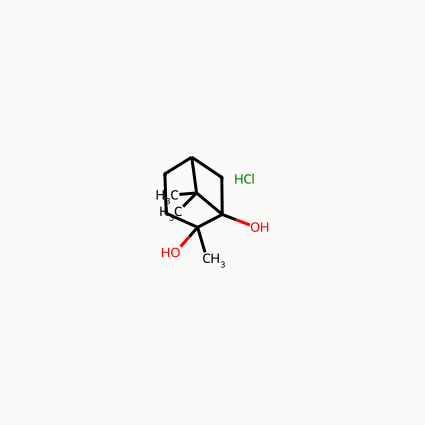 CC1(O)CCC2CC1(O)C2(C)C.Cl